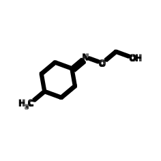 CC1CCC(=NOCO)CC1